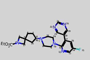 CCOC(=O)N1CC2(CC[C@@H](N3CCN(c4ncc(F)cc4-c4cncnc4)CC3)C2)C1